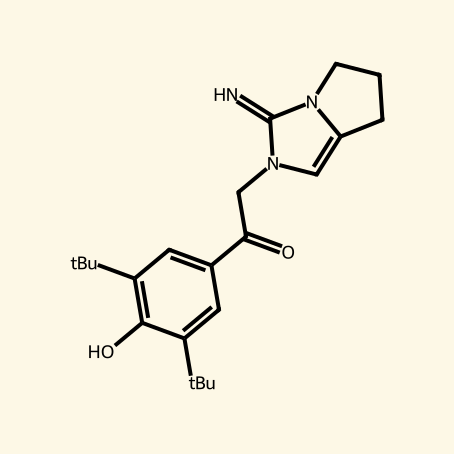 CC(C)(C)c1cc(C(=O)Cn2cc3n(c2=N)CCC3)cc(C(C)(C)C)c1O